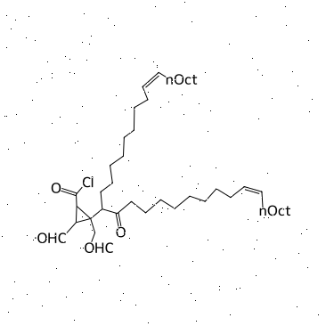 CCCCCCCC/C=C\CCCCCCCCC(=O)C(CCCCCCCC/C=C\CCCCCCCC)C1(CC=O)C([C]=O)C1C(=O)Cl